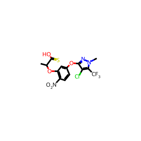 CC(Oc1cc(Oc2nn(C)c(C(F)(F)F)c2Cl)ccc1[N+](=O)[O-])C(O)=S